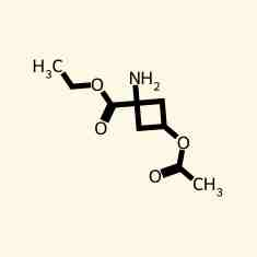 CCOC(=O)C1(N)CC(OC(C)=O)C1